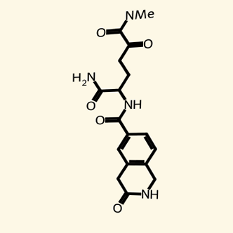 CNC(=O)C(=O)CCC(NC(=O)c1ccc2c(c1)CC(=O)NC2)C(N)=O